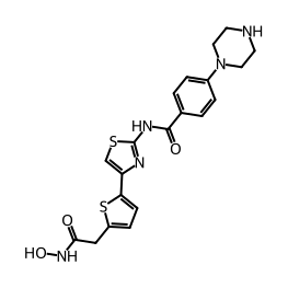 O=C(Cc1ccc(-c2csc(NC(=O)c3ccc(N4CCNCC4)cc3)n2)s1)NO